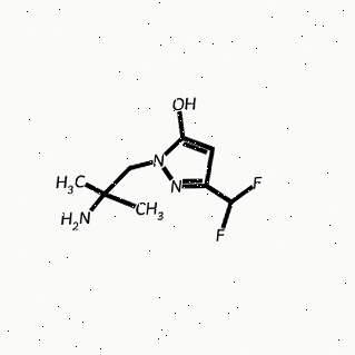 CC(C)(N)Cn1nc(C(F)F)cc1O